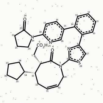 O=C(O)C[C@@H]1C(=O)N(c2nc(-c3ccccc3-c3ccc(N4CCCC4=O)nc3)cs2)CC=CC[C@@H]1C1CCCC1